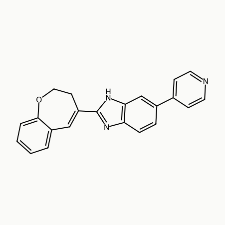 C1=C(c2nc3ccc(-c4ccncc4)cc3[nH]2)CCOc2ccccc21